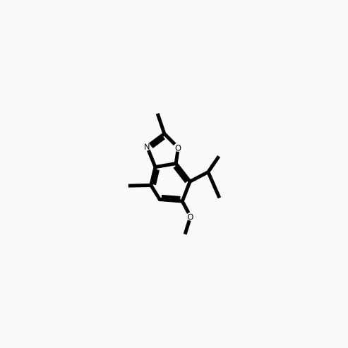 COc1cc(C)c2nc(C)oc2c1C(C)C